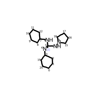 C1CCC(/N=C(/NC2CCCCC2)NN2CCCC2)CC1